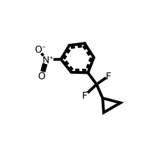 O=[N+]([O-])c1cccc(C(F)(F)C2CC2)c1